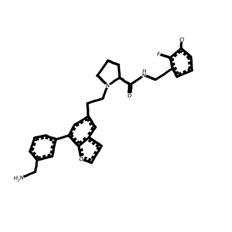 NCc1cccc(-c2cc(CCN3CCCC3C(=O)NCc3cccc(Cl)c3F)cc3ccoc23)c1